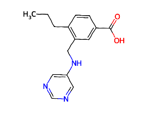 CCCc1ccc(C(=O)O)cc1CNc1cncnc1